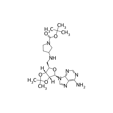 CC(C)(C)OC(=O)N1CCC(NC[C@H]2O[C@@H](n3cnc4c(N)ncnc43)[C@@H]3OC(C)(C)O[C@@H]32)C1